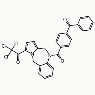 O=C(c1ccccc1)c1ccc(C(=O)N2Cc3ccc(C(=O)C(Cl)(Cl)Cl)n3Cc3ccccc32)cc1